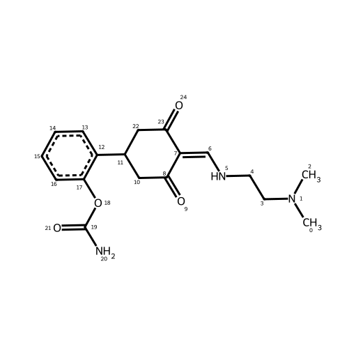 CN(C)CCNC=C1C(=O)CC(c2ccccc2OC(N)=O)CC1=O